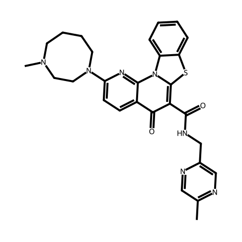 Cc1cnc(CNC(=O)c2c(=O)c3ccc(N4CCCCN(C)CC4)nc3n3c2sc2ccccc23)cn1